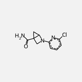 NC(=O)C12CC1N(c1cccc(Cl)n1)C2